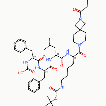 CCC(=O)N1CC2(CCN(C(=O)[C@@H](CCCCNC(=O)OC(C)(C)C)NC(=O)[C@@H](CC(C)C)NC(=O)[C@@H](Cc3ccccc3)NC(=O)[C@@H](Cc3ccccc3)NC(=O)O)CC2)C1